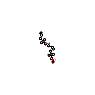 c1cc(-c2ccc3ccccc3c2)cc(-c2c3ccccc3c(-c3ccc4c(c3)oc3cc(-c5ccc6cccc(-c7cccc(-c8c9ccccc9c(-c9ccc%10c(c9)oc9ccccc9%10)c9ccccc89)c7)c6c5)ccc34)c3ccccc23)c1